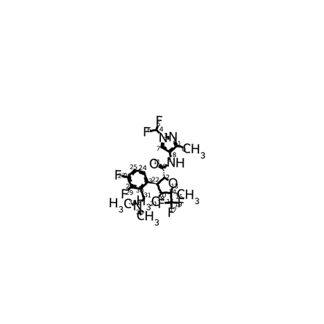 Cc1nn(C(F)F)cc1NC(=O)[C@@H]1O[C@@](C)(C(F)(F)F)[C@@H](C)[C@H]1c1ccc(F)c(F)c1CN(C)C